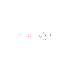 CN1CC(=O)OB(C/C=C/CCCC2OCC(C)(C)CO2)OC(=O)C1